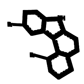 Brc1ccc2[nH]c3ccc4cccc(Br)c4c3c2c1